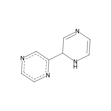 C1=CNC(c2cnccn2)C=N1